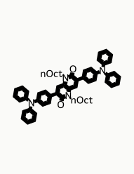 CCCCCCCCn1c(=O)c(-c2ccc(N(c3ccccc3)c3ccccc3)cc2)cc2c1cc(-c1ccc(N(c3ccccc3)c3ccccc3)cc1)c(=O)n2CCCCCCCC